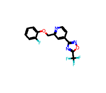 Fc1ccccc1OCc1cc(-c2noc(C(F)(F)F)n2)ccn1